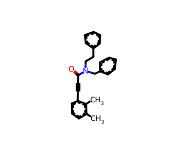 Cc1cccc(C#CC(=O)N(CCc2ccccc2)Cc2ccccc2)c1C